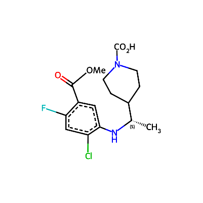 COC(=O)c1cc(N[C@@H](C)C2CCN(C(=O)O)CC2)c(Cl)cc1F